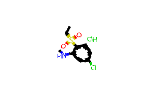 CCS(=O)(=O)c1ccc(Cl)cc1NC.Cl